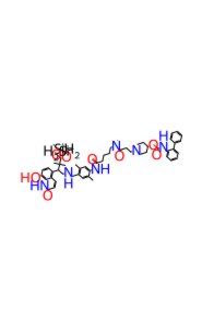 C[SiH2]OC(O[SiH2]C)C(C)(C)C(CNCc1cc(C)c(NC(=O)CCCCN(C)C(=O)CCN2CCC(OC(=O)Nc3ccccc3-c3ccccc3)CC2)cc1C)c1ccc(O)c2[nH]c(=O)ccc12